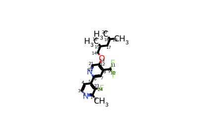 Cc1nccc(-c2cc(C(F)F)c(OCC(C)CC(C)C)cn2)c1F